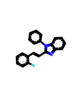 Fc1ccccc1/C=C/c1nc2ccccc2n1-c1ccccc1